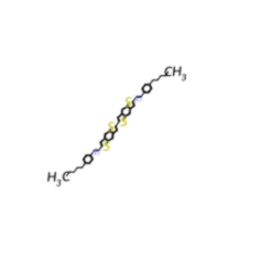 CCCCCc1ccc(/C=C/c2cc3cc4sc(-c5cc6cc7sc(/C=C/c8ccc(CCCCC)cc8)cc7cc6s5)cc4cc3s2)cc1